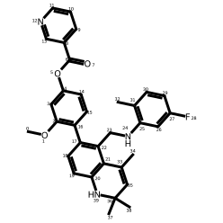 COc1cc(OC(=O)c2cccnc2)ccc1-c1ccc2c(c1CNc1cc(F)ccc1C)C(C)=CC(C)(C)N2